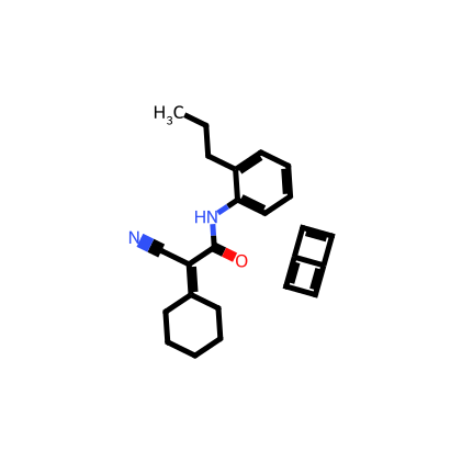 CCCc1ccccc1NC(=O)C(C#N)=C1CCCCC1.c1cc2ccc1-2